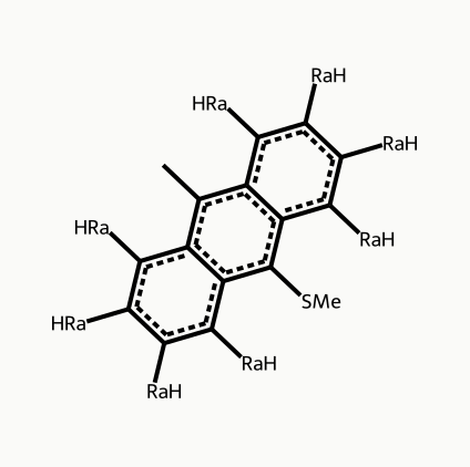 CSc1c2[c]([RaH])[c]([RaH])[c]([RaH])[c]([RaH])c2c(C)c2[c]([RaH])[c]([RaH])[c]([RaH])[c]([RaH])c12